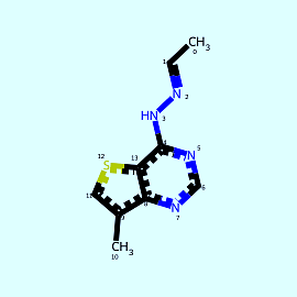 CC=NNc1ncnc2c(C)csc12